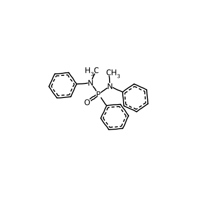 CN(c1ccccc1)P(=O)(c1ccccc1)N(C)c1ccccc1